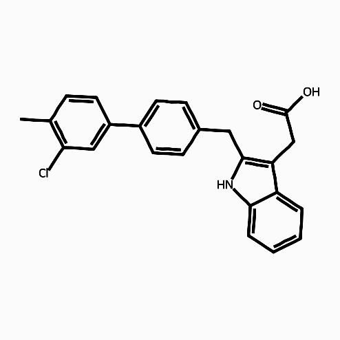 Cc1ccc(-c2ccc(Cc3[nH]c4ccccc4c3CC(=O)O)cc2)cc1Cl